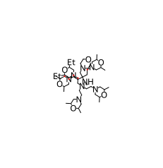 CCC1CN(CC[N+](CCN2CC(C)OC(C)C2)(CCN2CC(C)OC(C)C2)NC(CCN2CC(C)OC(C)C2)(CCN2CC(C)OC(C)C2)CN2CCOCC2)CC(CC)O1